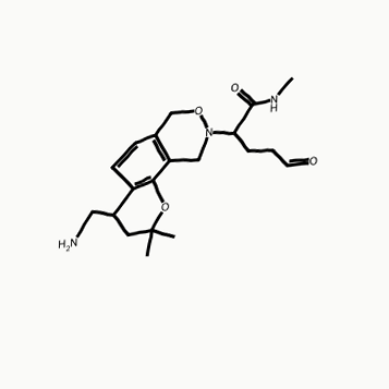 CNC(=O)C(CCC=O)N1Cc2c(ccc3c2OC(C)(C)CC3CN)CO1